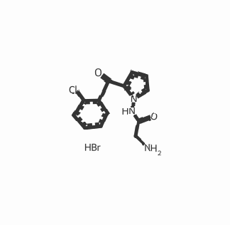 Br.NCC(=O)Nn1cccc1C(=O)c1ccccc1Cl